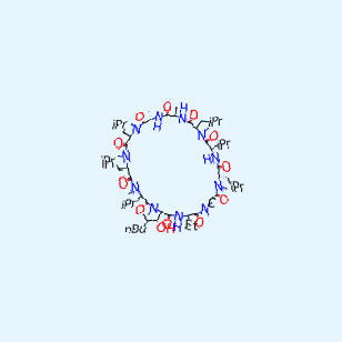 CCCC[C@@H](C)[C@@H](O)[C@@H]1C(=O)N[C@H](CC)C(=O)N(C)CC(=O)N(C)[C@@H](CC(C)C)C(=O)N[C@H](C(C)C)C(=O)N(C)C(CC(C)C)C(=O)N[C@H](C)C(=O)N[C@@H](C)C(=O)N(C)[C@H](CC(C)C)C(=O)N(C)[C@H](CC(C)C)C(=O)N(C)[C@H](C(C)C)C(=O)N1C